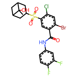 CC1(O)C2CC1CC(S(=O)(=O)c1cc(C(=O)Nc3ccc(F)c(F)c3)c(Br)cc1Cl)C2